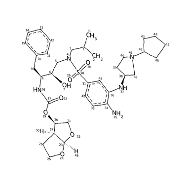 CC(C)CN(C[C@@H](O)[C@H](Cc1ccccc1)NC(=O)O[C@H]1CO[C@H]2OCC[C@H]21)S(=O)(=O)c1ccc(N)c(N[C@H]2CCN(C3CCCC3)C2)c1